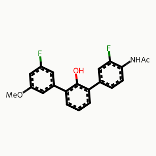 COc1cc(F)cc(-c2cccc(-c3ccc(NC(C)=O)c(F)c3)c2O)c1